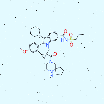 CCCS(=O)(=O)NC(=O)c1ccc2c(C3CCCCC3)c3n(c2c1)CC1(C(=O)N2CCNC4(CCCC4)C2)CC1c1cc(OC)ccc1-3